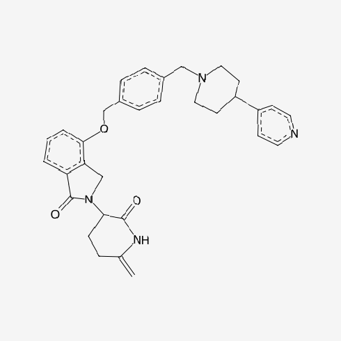 C=C1CCC(N2Cc3c(OCc4ccc(CN5CCC(c6ccncc6)CC5)cc4)cccc3C2=O)C(=O)N1